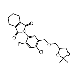 CC1(C)OCC(COCc2cc(N3C(=O)C4=C(CCCC4)C3=O)c(F)cc2Cl)O1